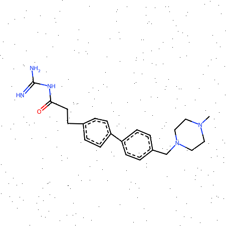 CN1CCN(Cc2ccc(-c3ccc(CCC(=O)NC(=N)N)cc3)cc2)CC1